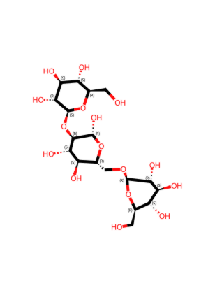 OC[C@H]1O[C@@H](OC[C@H]2O[C@@H](O)[C@H](O[C@@H]3O[C@H](CO)[C@@H](O)[C@H](O)[C@H]3O)[C@@H](O)[C@@H]2O)[C@H](O)[C@@H](O)[C@@H]1O